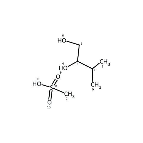 CC(C)C(O)CO.CS(=O)(=O)O